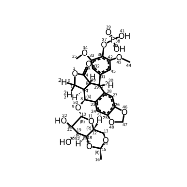 [2H]C1([2H])OC(=O)[C@H]2[C@H]1[C@H](O[C@@H]1O[C@@H]3CO[C@@H](C)O[C@H]3[C@H](O)[C@H]1O)c1cc3c(cc1[C@@]2([2H])c1cc(OC)c(OP(=O)(O)O)c(OC)c1)OCO3